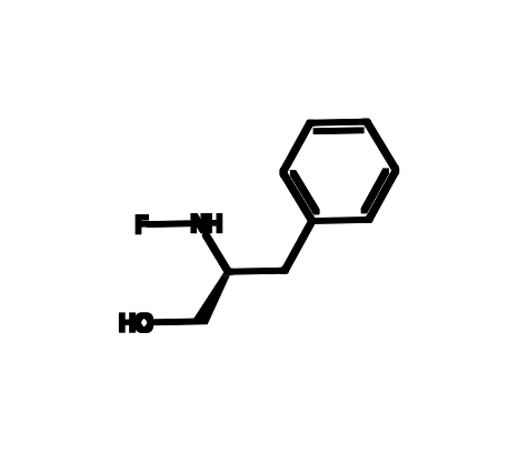 OC[C@H](Cc1ccccc1)NF